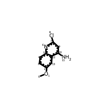 COc1ccc2nc(Cl)cc(N)c2c1